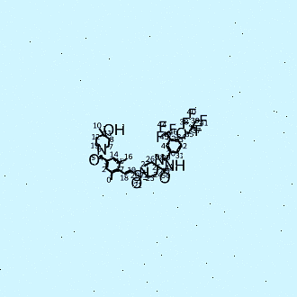 Cc1cc(C(=O)N2CCC(C)(O)CC2)cc(C)c1/C=C/[S+]([O-])N1CCC2(CC1)N=C(c1ccc(OCC(F)(F)C(F)F)c(C(F)(F)F)c1)NC2=O